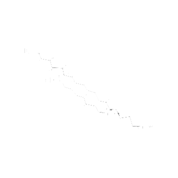 CCCCCCCCCCCCCCCCCCCCCCCCCCC.CCCCCCCCCCCCCCCCCCCCCCCCCCCC(=O)O